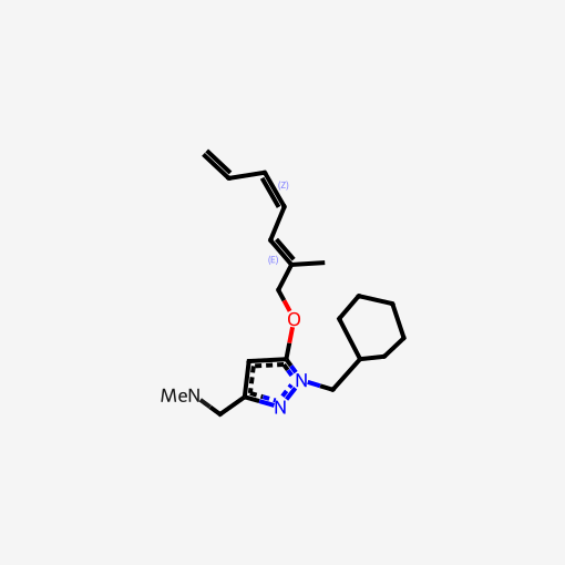 C=C/C=C\C=C(/C)COc1cc(CNC)nn1CC1CCCCC1